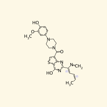 C=N/C(=C\C=C/C)c1nc(O)c2scc(C(=O)N3CCN(c4ccc(O)c(OC)c4)CC3)c2n1